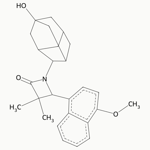 COc1ccc(C2N(C3C4CC5CC3CC(O)(C5)C4)C(=O)C2(C)C)c2ccccc12